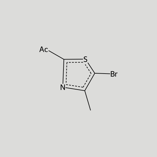 CC(=O)c1nc(C)c(Br)s1